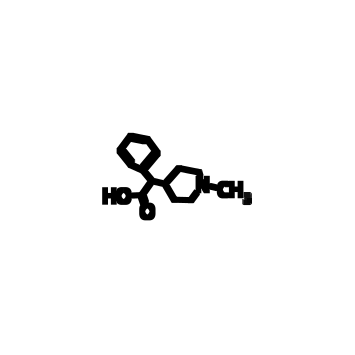 CN1CCC(C(C(=O)O)c2ccccc2)CC1